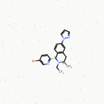 C[C@@H]1Cc2cc(-n3cccn3)ccc2[C@@H](c2ccc(Br)cn2)N1CC(F)(F)F